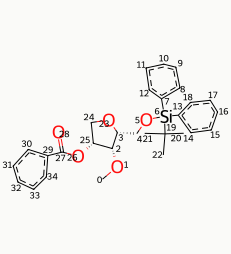 CO[C@H]1[C@@H](CO[Si](c2ccccc2)(c2ccccc2)C(C)(C)C)OC[C@H]1OC(=O)c1ccccc1